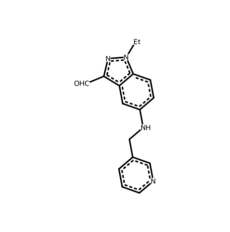 CCn1nc(C=O)c2cc(NCc3cccnc3)ccc21